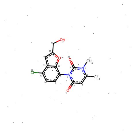 Cn1c(C(F)(F)F)cc(=O)n(-c2ccc(Cl)c3cc(CO)oc23)c1=O